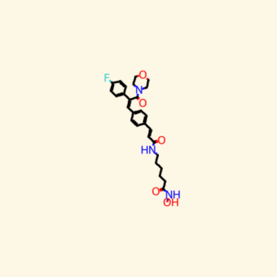 O=C(C=Cc1ccc(C=C(C(=O)N2CCOCC2)c2ccc(F)cc2)cc1)NCCCCCC(=O)NO